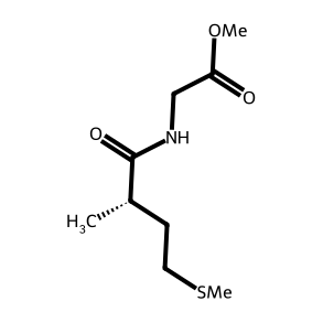 COC(=O)CNC(=O)[C@@H](C)CCSC